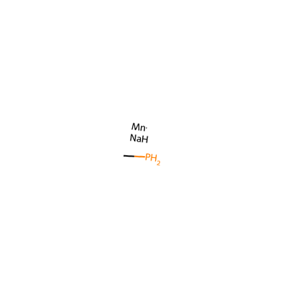 CP.[Mn].[NaH]